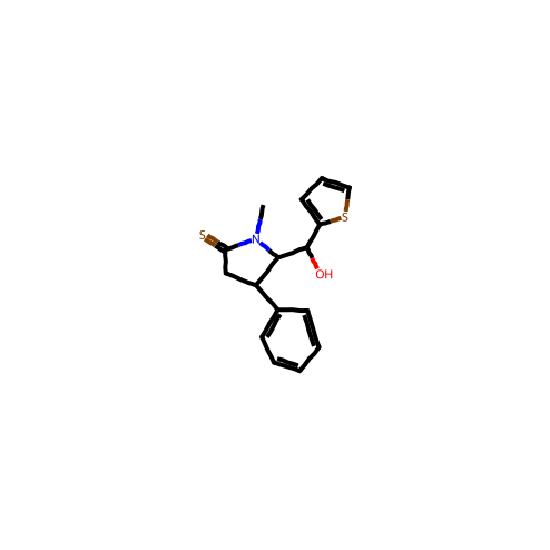 CN1C(=S)CC(c2ccccc2)C1C(O)c1cccs1